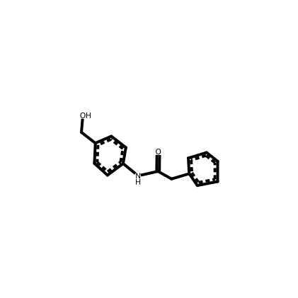 O=C(Cc1ccccc1)Nc1ccc(CO)cc1